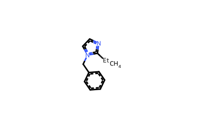 C.CCc1nccn1Cc1ccccc1